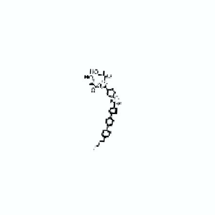 C=C(CO)C(=O)OCC(COC(=O)C(=C)CO)C1CCC(OC(F)(F)c2ccc(-c3ccc(-c4ccc(CCCCC)cc4)cc3)cc2)CC1